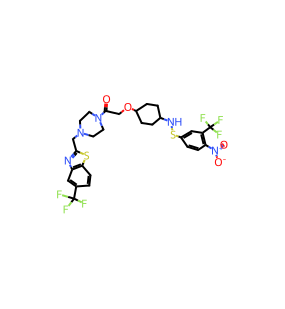 O=C(COC1CCC(NSc2ccc([N+](=O)[O-])c(C(F)(F)F)c2)CC1)N1CCN(Cc2nc3cc(C(F)(F)F)ccc3s2)CC1